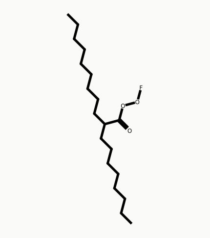 CCCCCCCCCC(CCCCCCCC)C(=O)OOF